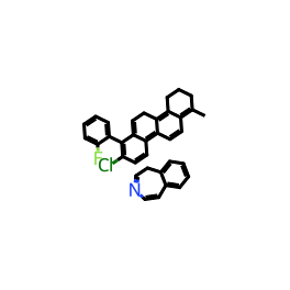 C1=Cc2ccccc2CC=N1.CC1=c2ccc3c(c2CCC1)CC=c1c(-c2ccccc2F)c(Cl)ccc1=3